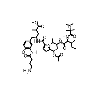 CC[C@H](C)[C@H](NC(=O)C(C)(C)N(C)C)C(=O)N(C)C(C[C@@H](OC(C)=O)c1nc(C(=O)N[C@@H](Cc2ccc(O)c(NC(=O)CCCN)c2)CC(C)C(=O)O)cs1)C(C)C